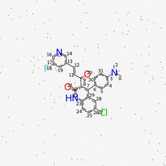 CN(C)c1ccc(-c2c(C(=O)/C=C/c3cncc(F)c3)c(=O)[nH]c3ccc(Cl)cc23)cc1